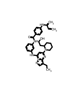 C=CC(=C)Nc1ccc(C(=O)Nc2cccc(Nc3cc(N4CCCCC4CCO)nc4c(CC)cnn34)c2)cc1